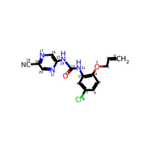 C=CCOc1ccc(Cl)cc1NC(=O)Nc1cnc(C#N)cn1